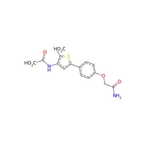 NC(=O)COc1ccc(-c2cc(NC(=O)C(=O)O)c(C(=O)O)s2)cc1